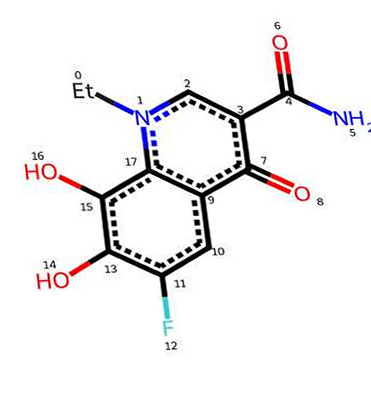 CCn1cc(C(N)=O)c(=O)c2cc(F)c(O)c(O)c21